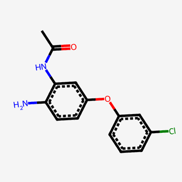 CC(=O)Nc1cc(Oc2cccc(Cl)c2)ccc1N